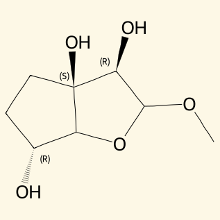 COC1OC2[C@H](O)CC[C@]2(O)[C@H]1O